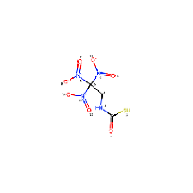 O=C(S)NCC([N+](=O)[O-])([N+](=O)[O-])[N+](=O)[O-]